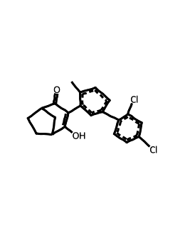 Cc1ccc(-c2ccc(Cl)cc2Cl)cc1C1=C(O)C2CCC(C2)C1=O